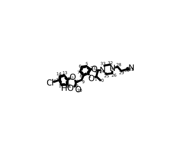 CC(Oc1ccccc1CC(Oc1ccc(Cl)cc1)C(=O)O)C(=O)N1CCN(CCC#N)CC1